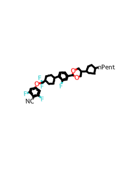 CCCCCC1CCC(C2COC(c3ccc(C4CCC(C(F)(F)Oc5cc(F)c(C#N)c(F)c5)CC4)c(F)c3)OC2)CC1